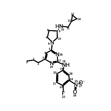 CCCc1cc(N2CC[C@H](NCC3CC3)C2)nc(Nc2ccc(F)c([N+](=O)[O-])c2)n1